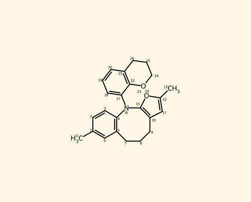 Cc1ccc2c(c1)CCCc1cc(C)oc1N2c1cccc2c1OCCC2